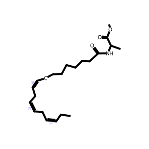 CC/C=C\C/C=C\C/C=C\CCCCCCCC(=O)NC(C)C(=O)OC